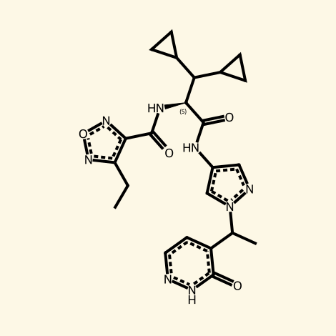 CCc1nonc1C(=O)N[C@H](C(=O)Nc1cnn(C(C)c2ccn[nH]c2=O)c1)C(C1CC1)C1CC1